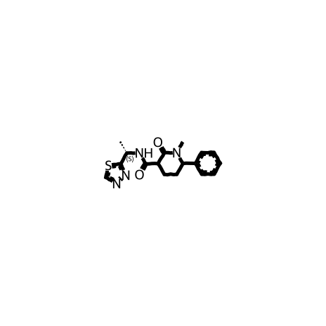 C[C@H](NC(=O)C1CCC(c2ccccc2)N(C)C1=O)c1nncs1